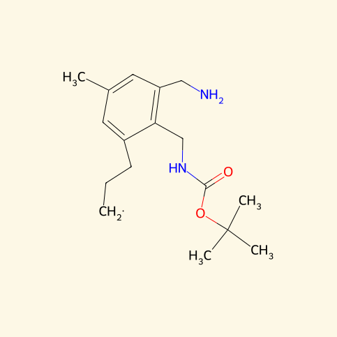 [CH2]CCc1cc(C)cc(CN)c1CNC(=O)OC(C)(C)C